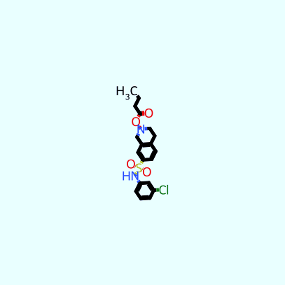 CCCC(=O)ON1CCc2ccc(S(=O)(=O)Nc3cccc(Cl)c3)cc2C1